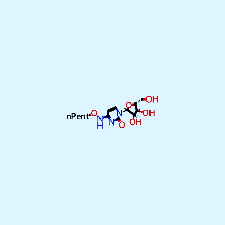 CCCCCONc1ccn([C@@H]2O[C@H](CO)[C@@H](O)[C@@H]2O)c(=O)n1